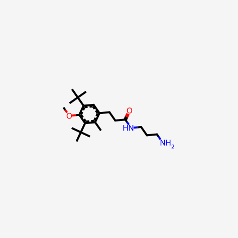 COc1c(C(C)(C)C)cc(CCC(=O)NCCCN)c(C)c1C(C)(C)C